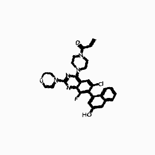 C=CC(=O)N1CCN(c2nc(N3CCOCC3)nc3c(F)c(-c4cc(O)cc5ccccc45)c(Cl)cc23)CC1